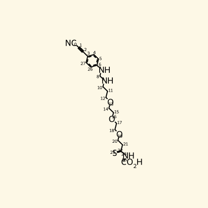 N#CC#Cc1ccc(NCNCCCOCCOCCOCCC(=S)NC(=O)O)cc1